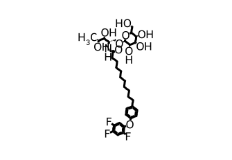 C[C@@H](O)[C@@H](O)[C@H](CO[C@H]1OC(CO)[C@H](O)C(O)[C@H]1O)NC(=O)CCCCCCCCCCc1ccc(Oc2cc(F)c(F)cc2F)cc1